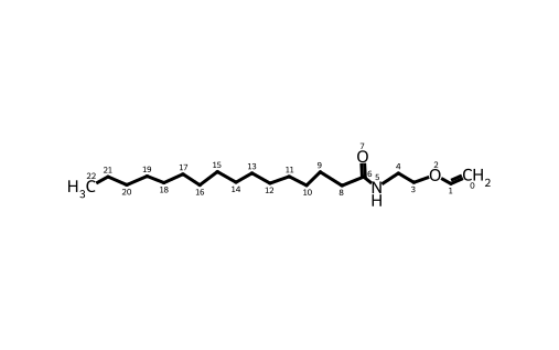 C=COCCNC(=O)CCCCCCCCCCCCCCC